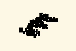 CCN(Cc1cc([C@H]2CCc3ccc([C@H](O)[C@H](C)C(=O)O)cc3O2)ccc1-c1cc(OC)ncc1F)C(C)C